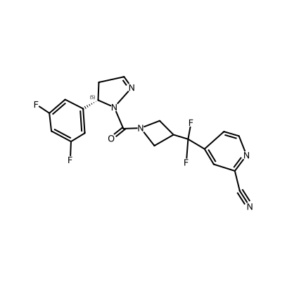 N#Cc1cc(C(F)(F)C2CN(C(=O)N3N=CC[C@H]3c3cc(F)cc(F)c3)C2)ccn1